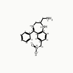 NCC1CN=C(c2ccccc2)c2cc(C[N+](=O)[O-])ccc2N1